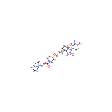 Cn1c(=O)n(C2CCC(=O)NC2=O)c2cccc(CCCOC3CCN(C(=O)OC[C@@H]4CCC5CCCN54)CC3)c21